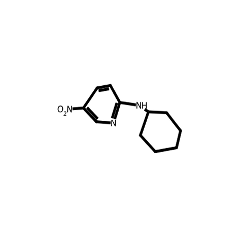 O=[N+]([O-])c1ccc(NC2CCCCC2)nc1